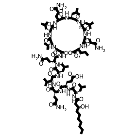 CCCCCCC[C@H](O)CC(=O)N[C@@H](CC(C)C)C(=O)N[C@H](CCC(=O)O)C(=O)N[C@H](CCC(N)=O)C(=O)N[C@@H](C(=O)N[C@H](CC(C)C)C(=O)N[C@@H](CCC(N)=O)C(=O)N[C@@H]1COC(=O)[C@H]([C@@H](C)CC)NC(=O)[C@@H](CCC(N)=O)NC(=O)[C@H](CC(C)C)NC(=O)[C@H](CC(C)C)NC(O)C(CCC(N)=O)NC(=O)[C@@H](CC(C)C)NC(=O)[C@@H](C(C)C)NC1=O)C(C)C